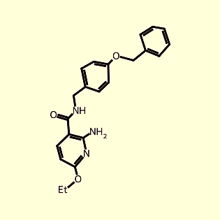 CCOc1ccc(C(=O)NCc2ccc(OCc3ccccc3)cc2)c(N)n1